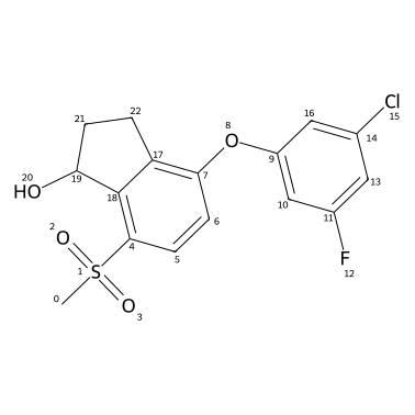 CS(=O)(=O)c1ccc(Oc2cc(F)cc(Cl)c2)c2c1C(O)CC2